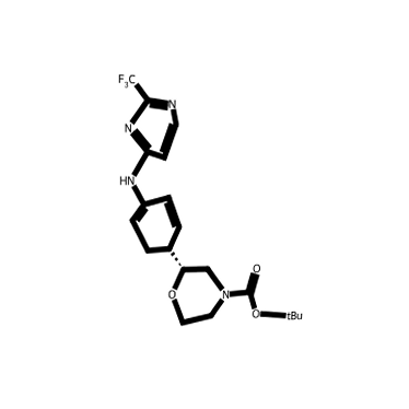 CC(C)(C)OC(=O)N1CCO[C@H](C2C=CC(Nc3ccnc(C(F)(F)F)n3)=CC2)C1